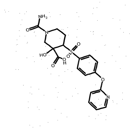 NC(=O)N1CCC(S(=O)(=O)c2ccc(Oc3ccccn3)cc2)C(O)(C(=O)O)C1